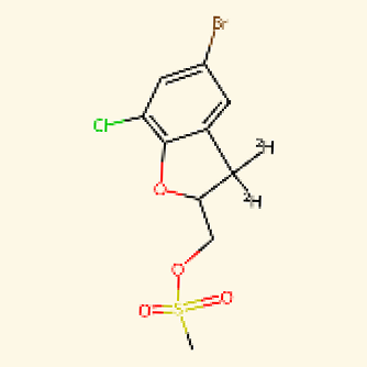 [2H]C1([2H])c2cc(Br)cc(Cl)c2OC1COS(C)(=O)=O